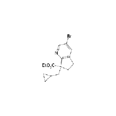 CCOC(=O)C1(CC2CC2)CCc2cc(Br)cnc21